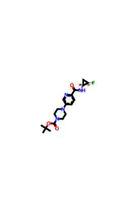 CC(C)(C)OC(=O)N1CCN(c2ccc(C(=O)N[C@@H]3C[C@@H]3F)nc2)CC1